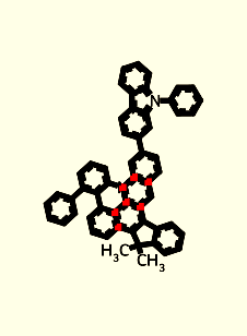 CC1(C)c2ccccc2-c2cc(N(c3cccc(-c4ccc5c6ccccc6n(-c6ccccc6)c5c4)c3)c3cccc(-c4ccccc4)c3-c3ccccc3-c3ccccc3)ccc21